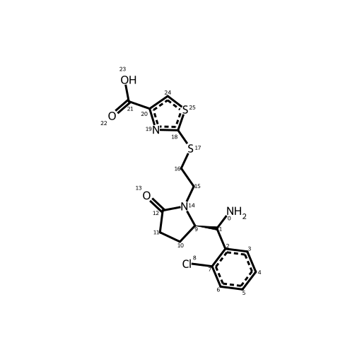 NC(c1ccccc1Cl)[C@H]1CCC(=O)N1CCSc1nc(C(=O)O)cs1